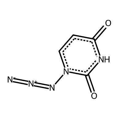 [N-]=[N+]=Nn1ccc(=O)[nH]c1=O